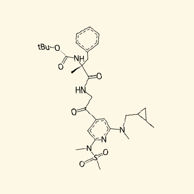 CC1CC1CN(C)c1cc(C(=O)CNC(=O)[C@@](C)(Cc2ccccc2)NC(=O)OC(C)(C)C)cc(N(C)S(C)(=O)=O)n1